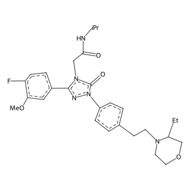 CCC1COCCN1CCc1ccc(-n2nc(-c3ccc(F)c(OC)c3)n(CC(=O)NC(C)C)c2=O)cc1